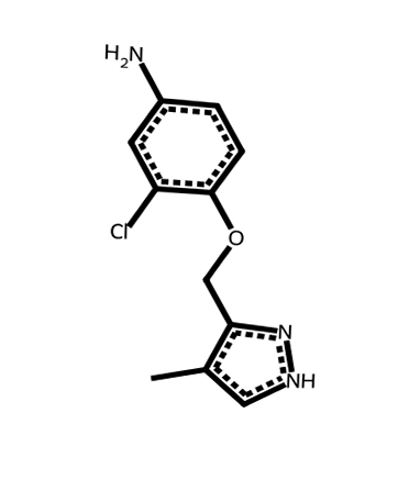 Cc1c[nH]nc1COc1ccc(N)cc1Cl